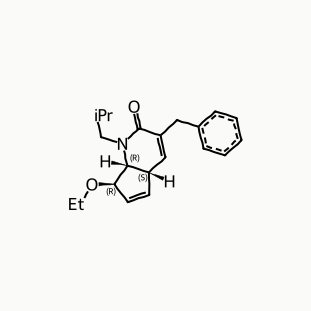 CCO[C@@H]1C=C[C@H]2C=C(Cc3ccccc3)C(=O)N(CC(C)C)[C@H]21